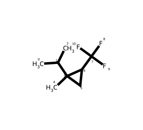 CC(C)C1(C)CC1C(F)(F)F